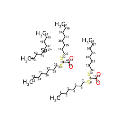 CCCCCCCCSC(SCCCCCCCC)C(=O)[O-].CCCCCCCCSC(SCCCCCCCC)C(=O)[O-].CCC[CH2][Sn+2][CH2]CCC